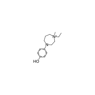 CC[N+]1(C)CCCN(c2ccc(O)cc2)CC1